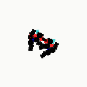 Cc1cc(F)cc(-c2cc(C(C)(C)CC(C)(C)C)cc(-n3c4cc(C(C)(C)CC(C)(C)C)ccc4c4ccc(C(C)(C)CC(C)(C)C)cc43)c2O)c1OCCCOc1c(C)cc(F)cc1-c1cc(C(C)(C)CC(C)(C)C)cc(-n2c3cc(C(C)(C)CC(C)(C)C)ccc3c3ccc(C(C)(C)CC(C)(C)C)cc32)c1O